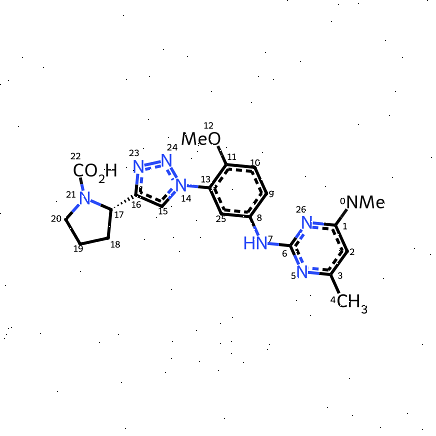 CNc1cc(C)nc(Nc2ccc(OC)c(-n3cc([C@@H]4CCCN4C(=O)O)nn3)c2)n1